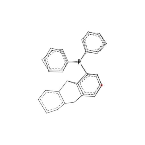 c1ccc(P(c2ccccc2)c2cccc3c2C2c4ccccc4C3c3cccc(P(c4ccccc4)c4ccccc4)c32)cc1